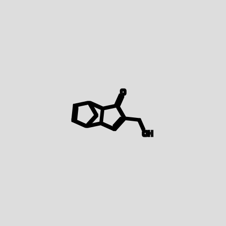 O=C1C(CO)=CC2C3C=CC(C3)C12